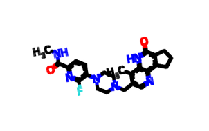 CNC(=O)c1ccc(N2CCN(Cc3cnc4c5c(c(=O)[nH]c4c3C)CCC5)CC2)c(F)n1